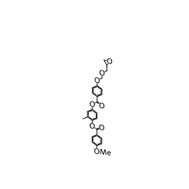 COc1ccc(C(=O)Oc2ccc(OC(=O)c3ccc(OCOCC4CO4)cc3)cc2C)cc1